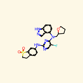 O=S1(=O)CCc2ccc(Nc3ncc(F)c(N(CC4CCCO4)c4cccc5[nH]ncc45)n3)cc21